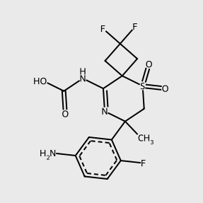 CC1(c2cc(N)ccc2F)CS(=O)(=O)C2(CC(F)(F)C2)C(NC(=O)O)=N1